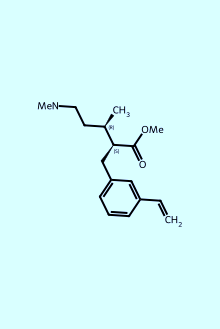 C=Cc1cccc(C[C@H](C(=O)OC)[C@H](C)CCNC)c1